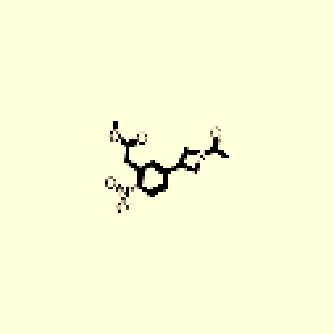 COC(=O)Cc1cc(C2CN(C(C)=O)C2)ccc1[N+](=O)[O-]